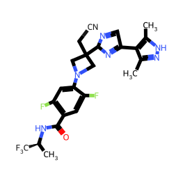 Cc1n[nH]c(C)c1C1=NC(C2(CC#N)CN(c3cc(F)c(C(=O)N[C@@H](C)C(F)(F)F)cc3F)C2)N=C1